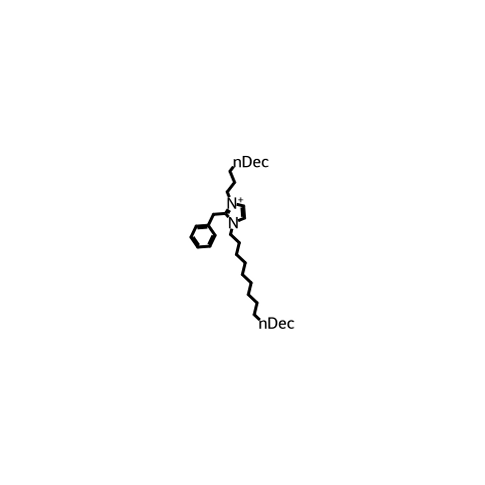 CCCCCCCCCCCCCCCCCCCn1cc[n+](CCCCCCCCCCCCC)c1Cc1ccccc1